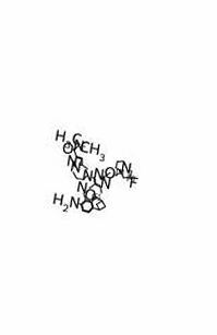 CN(C)C(=O)c1cc2n(n1)CCCN(c1nc(OC[C@@]34CCCN3C[C@H](F)C4)nc3c1CO[C@]1(C3)c3c(ccc(N)c3C#N)C3CC1C3)C2